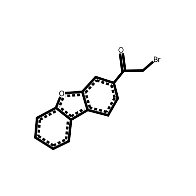 O=C(CBr)c1ccc2c(c1)oc1ccccc12